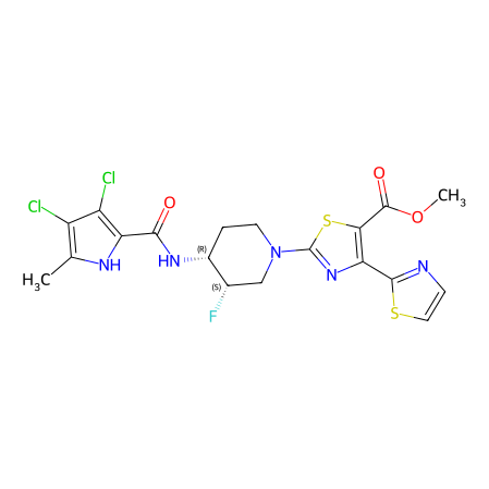 COC(=O)c1sc(N2CC[C@@H](NC(=O)c3[nH]c(C)c(Cl)c3Cl)[C@@H](F)C2)nc1-c1nccs1